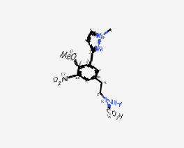 COc1c(-c2ccn(C)n2)cc(CCNC(=O)O)cc1[N+](=O)[O-]